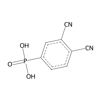 N#Cc1ccc(P(=O)(O)O)cc1C#N